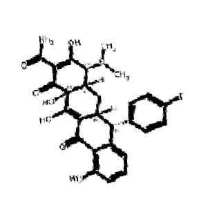 CN(C)[C@@H]1C(O)=C(C(N)=O)C(=O)[C@@]2(O)C(O)=C3C(=O)c4c(O)cccc4[C@@H](c4ccc(F)cc4)[C@H]3C[C@@H]12